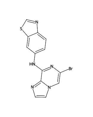 Brc1cn2ccnc2c(Nc2ccc3ncsc3c2)n1